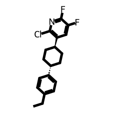 CCc1ccc([C@H]2CC[C@H](c3cc(F)c(F)nc3Cl)CC2)cc1